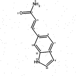 NC(=O)C=Cc1ccc2cc[nH]c2c1